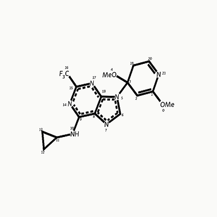 COC1=CC(OC)(n2cnc3c(NC4CC4)nc(C(F)(F)F)nc32)CC=N1